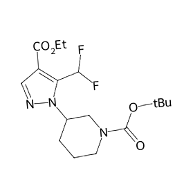 CCOC(=O)c1cnn(C2CCCN(C(=O)OC(C)(C)C)C2)c1C(F)F